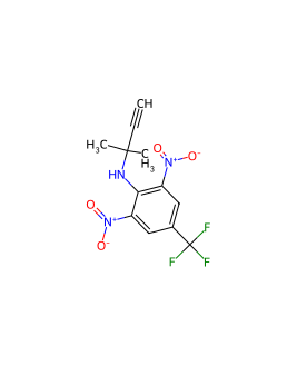 C#CC(C)(C)Nc1c([N+](=O)[O-])cc(C(F)(F)F)cc1[N+](=O)[O-]